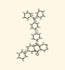 O=c1c2ccccc2n(-c2ccc(-c3ccc(N(c4ccccc4)c4ccccc4)cc3)cc2)c2ccc(-c3ccccc3)cc12